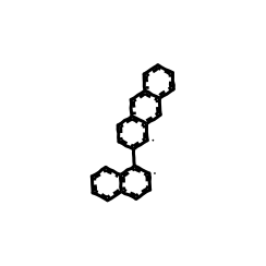 [c]1ccc2ccccc2c1-c1[c]c2cc3ccccc3cc2cc1